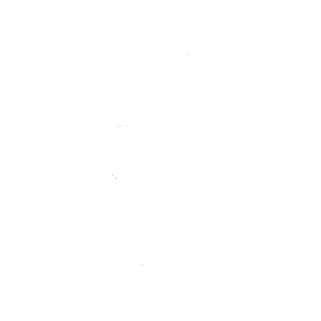 CCN(Cc1ccccc1)CC(O)COCC(C)C